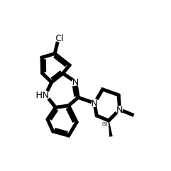 C[C@H]1CN(C2=Nc3cc(Cl)ccc3Nc3ccccc32)CCN1C